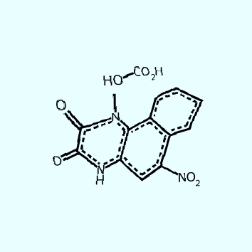 Cn1c(=O)c(=O)[nH]c2cc([N+](=O)[O-])c3ccccc3c21.O=C(O)O